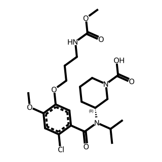 COC(=O)NCCCOc1cc(C(=O)N(C(C)C)[C@@H]2CCCN(C(=O)O)C2)c(Cl)cc1OC